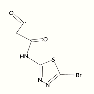 O=[C]CC(=O)Nc1nnc(Br)s1